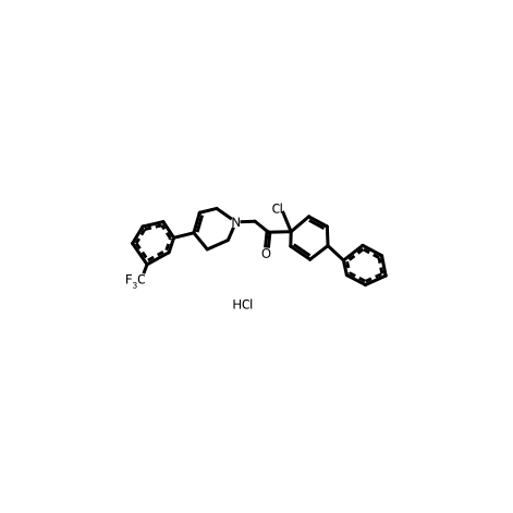 Cl.O=C(CN1CC=C(c2cccc(C(F)(F)F)c2)CC1)C1(Cl)C=CC(c2ccccc2)C=C1